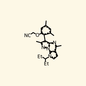 CCC(CC)n1ccc2c(C)nc3c(-c4c(C)cc(C)cc4OCC#N)c(C)nn3c21